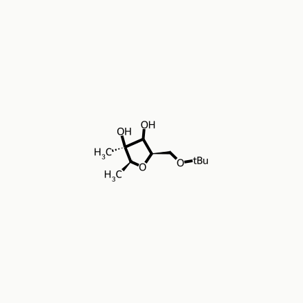 C[C@@H]1O[C@H](COC(C)(C)C)C(O)[C@]1(C)O